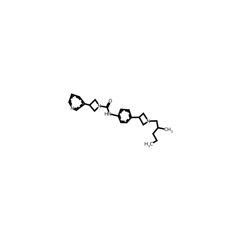 CCCC(C)CN1CC(c2ccc(NC(=O)N3CC(c4cccnc4)C3)cc2)C1